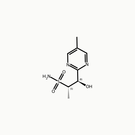 Cc1cnc([C@@H](O)[C@H](C)S(N)(=O)=O)nc1